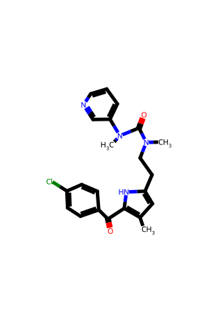 Cc1cc(CCN(C)C(=O)N(C)c2cccnc2)[nH]c1C(=O)c1ccc(Cl)cc1